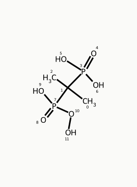 CC(C)(P(=O)(O)O)P(=O)(O)OO